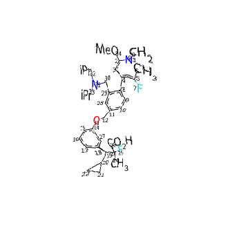 C=N/C(=C\C(=C(/C)F)c1ccc(COc2cccc([C@H](C3CC3)[C@@](C)(F)C(=O)O)c2)cc1CN(C(C)C)C(C)C)OC